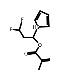 C=C(C)C(=O)OC([CH]C(F)F)[SH]1C=CC=C1